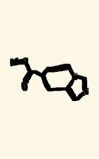 COC(=O)c1ccn2cncc2c1